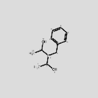 CC(O)P(Cc1ccccc1)C(C)O